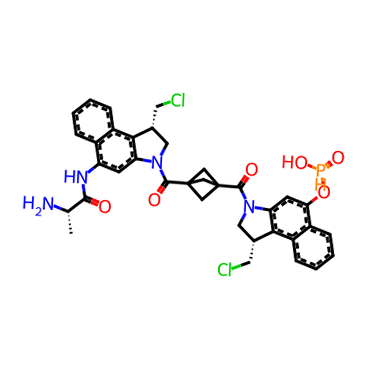 C[C@H](N)C(=O)Nc1cc2c(c3ccccc13)[C@H](CCl)CN2C(=O)C12CC(C(=O)N3C[C@@H](CCl)c4c3cc(O[PH](=O)O)c3ccccc43)(C1)C2